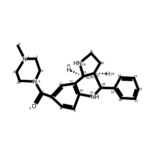 CN1CCN(C(=O)c2ccc3c(c2)[C@H]2NCC[C@H]2C(c2ccccc2)N3)CC1